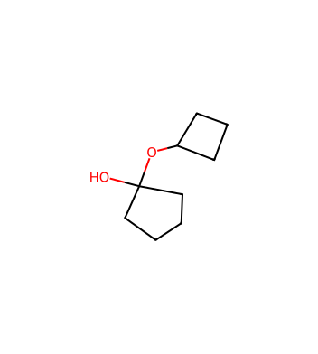 OC1(OC2CCC2)CCCC1